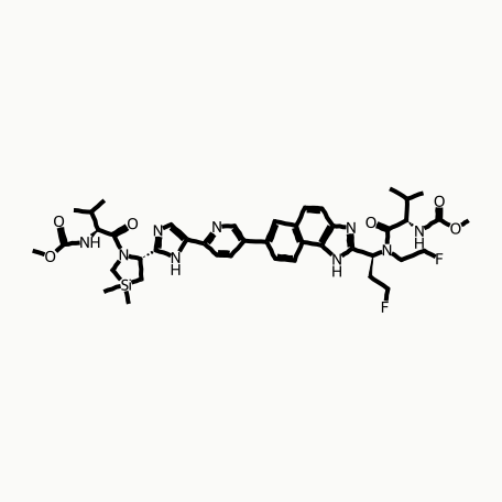 COC(=O)N[C@H](C(=O)N1C[Si](C)(C)C[C@H]1c1ncc(-c2ccc(-c3ccc4c(ccc5nc([C@H](CCF)N(CCF)C(=O)[C@@H](NC(=O)OC)C(C)C)[nH]c54)c3)cn2)[nH]1)C(C)C